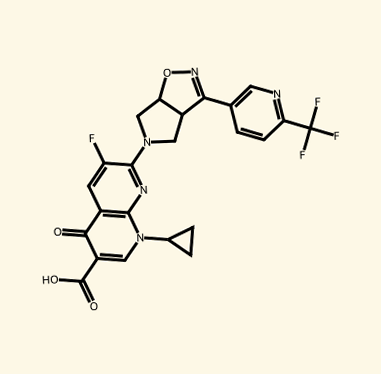 O=C(O)c1cn(C2CC2)c2nc(N3CC4ON=C(c5ccc(C(F)(F)F)nc5)C4C3)c(F)cc2c1=O